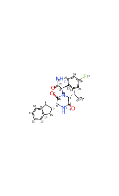 CC(C)C[C@@H]1C(=O)N[C@H](C2Cc3ccccc3C2)C(=O)N1[C@@H](C(N)=O)c1ccc(F)cc1